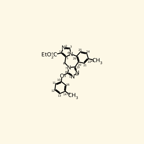 CCOC(=O)c1ncn2c1Cn1c(Oc3cccc(C)c3)nnc1-c1cc(C)ccc1-2